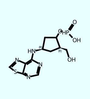 O=[PH](O)OC1C[C@H](Nc2ncnc3scnc23)C[C@@H]1CO